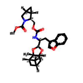 CC(C)(C)OC(=O)N1C[C@@H]2C[C@@H]2[C@@H]1COC(=O)N[C@@H](Cc1coc2ccccc12)B1O[C@@H]2C[C@@H]3C[C@@H](C3(C)C)[C@]2(C)O1